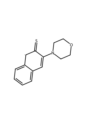 S=C1[CH]c2ccccc2C=C1N1CCOCC1